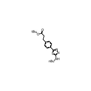 CCCCNc1nnc(-c2ccc(CCC(=O)OC(C)(C)C)cc2)s1